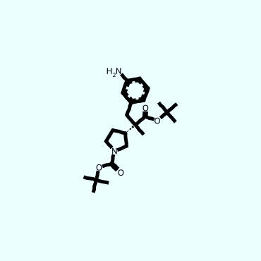 CC(C)(C)OC(=O)N1CC[C@H](C(C)(Cc2cccc(N)c2)C(=O)OC(C)(C)C)C1